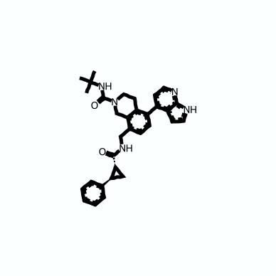 CC(C)(C)NC(=O)N1CCc2c(-c3ccnc4[nH]ccc34)ccc(CNC(=O)[C@@H]3C[C@H]3c3ccccc3)c2C1